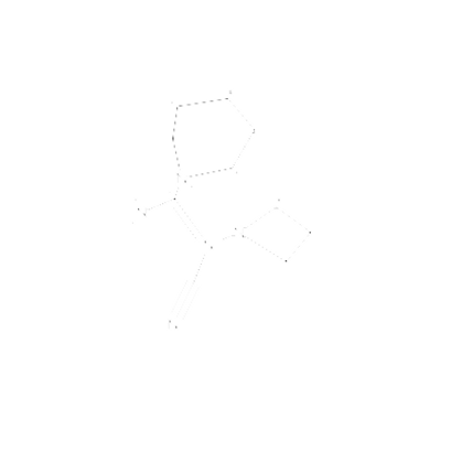 N#C[N+](=C(N)N1C[CH]CCC1)N1CCC1